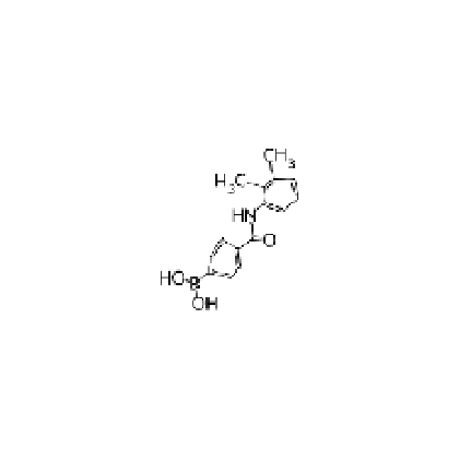 Cc1cccc(NC(=O)c2ccc(B(O)O)cc2)c1C